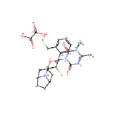 Cc1nc(=O)n(C[C@@H](F)CN2C3CCC2CC(OCc2ccccc2CF)C3)c(=O)n1C.O=C(O)C(=O)O